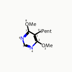 CCCC(C)c1c(OC)ncnc1OC